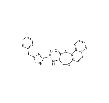 CN1C(=O)C(NC(=O)c2ncn(Cc3ccccc3)n2)COc2ccc3ncccc3c21